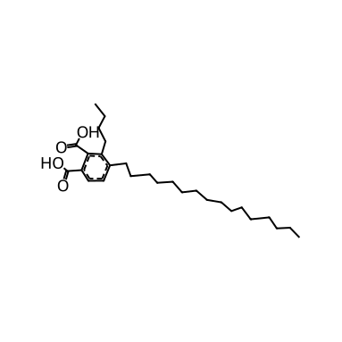 CCCCCCCCCCCCCCCCc1ccc(C(=O)O)c(C(=O)O)c1CCCC